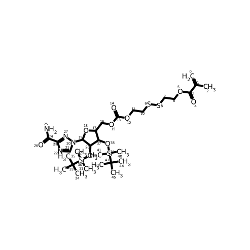 C=C(C)C(=O)OCCSSCCOC(=O)OCC1OC(n2cnc(C(N)=O)n2)C(O[Si](C)(C)C(C)(C)C)C1O[Si](C)(C)C(C)(C)C